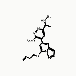 C=CCCOc1cc(-c2cc(C(C)NCC)nnc2OC)cc2ccnn12